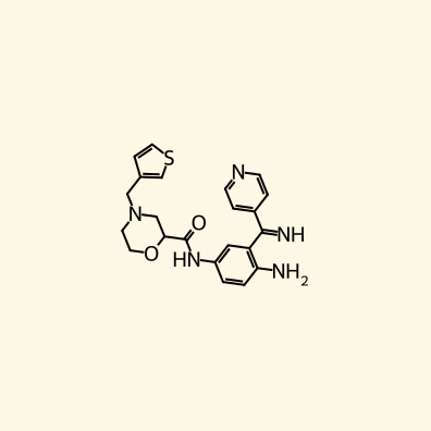 N=C(c1ccncc1)c1cc(NC(=O)C2CN(Cc3ccsc3)CCO2)ccc1N